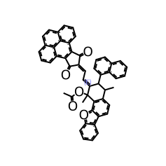 CC(=O)OC1(C)/C(=C/C=C2C(=O)c3c(c4cccc5ccc6cccc3c6c54)C2=O)C(c2cccc3ccccc23)C(C)c2ccc3c(oc4ccccc43)c21